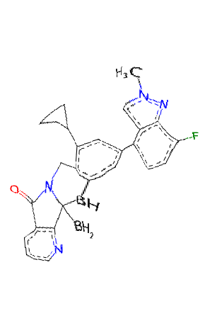 BC12Bc3cc(-c4ccc(F)c5nn(C)cc45)cc(C4CC4)c3CN1C(=O)c1cccnc12